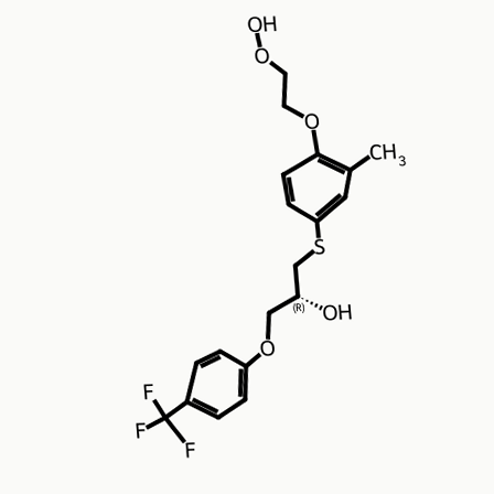 Cc1cc(SC[C@H](O)COc2ccc(C(F)(F)F)cc2)ccc1OCCOO